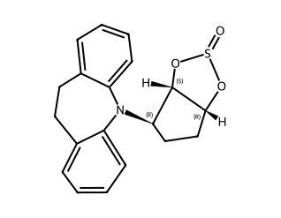 O=S1O[C@H]2[C@H](N3c4ccccc4CCc4ccccc43)CC[C@H]2O1